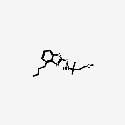 CCCCc1cccc2sc(SNC(C)(C)CCCC)nc12